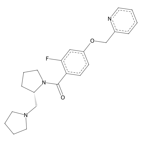 O=C(c1ccc(OCc2ccccn2)cc1F)N1CCC[C@H]1CN1CCCC1